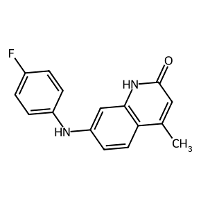 Cc1cc(=O)[nH]c2cc(Nc3ccc(F)cc3)ccc12